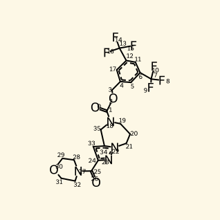 O=C(OCc1cc(C(F)(F)F)cc(C(F)(F)F)c1)N1CCCn2nc(C(=O)N3CCOCC3)cc2C1